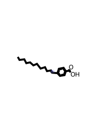 CCCCCCCCCC/C=C/c1ccc(C(=O)O)cc1